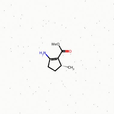 COC(=O)C1=C(N)CC[C@H]1C